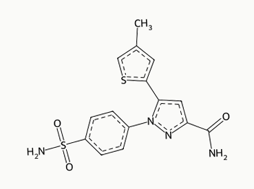 Cc1csc(-c2cc(C(N)=O)nn2-c2ccc(S(N)(=O)=O)cc2)c1